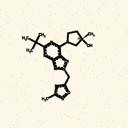 Cc1noc(Cn2nc3nc(C(C)(C)C)nc(N4CC[C@@](C)(O)C4)c3n2)n1